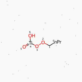 CCCCO[O][Ti](=[O])[OH]